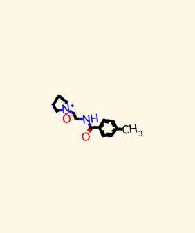 Cc1ccc(C(=O)NCC[N+]2([O-])CCCC2)cc1